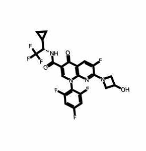 O=C(N[C@@H](C1CC1)C(F)(F)F)c1cn(-c2c(F)cc(F)cc2F)c2nc(N3CC(O)C3)c(F)cc2c1=O